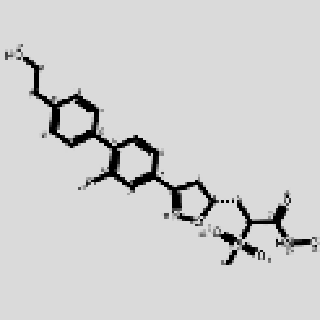 CS(=O)(=O)C(C[C@H]1CC(c2ccc(-c3ccc(CCO)cc3)c(F)c2)=NO1)C(=O)NO